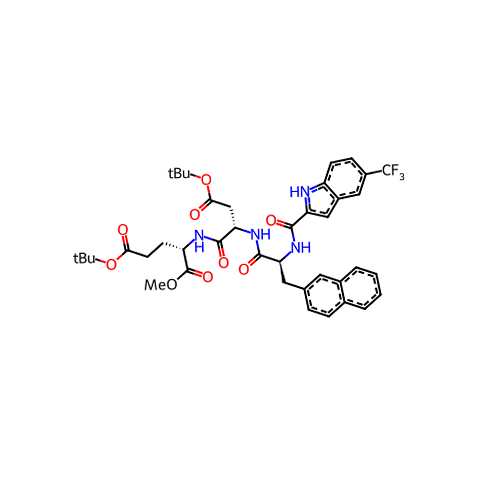 COC(=O)[C@H](CCC(=O)OC(C)(C)C)NC(=O)[C@H](CC(=O)OC(C)(C)C)NC(=O)[C@H](Cc1ccc2ccccc2c1)NC(=O)c1cc2cc(C(F)(F)F)ccc2[nH]1